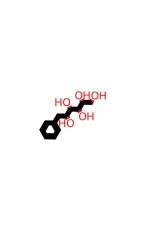 OCC(O)C(O)C(O)C(O)Cc1ccccc1